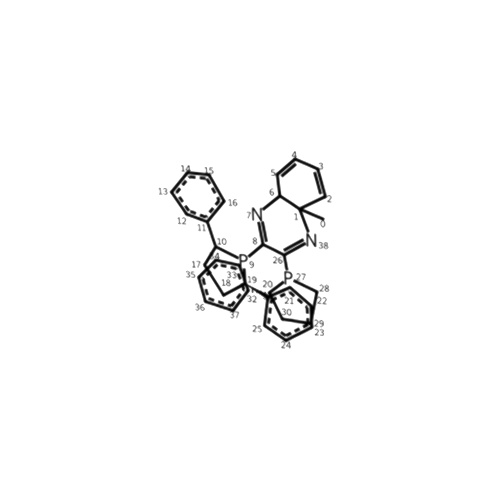 CC12C=CC=CC1N=C(P1C(c3ccccc3)CC[C@@H]1c1ccccc1)C(P1CCC[C@@H]1c1ccccc1)=N2